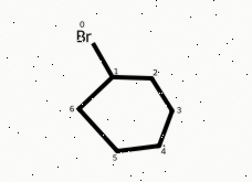 BrC1CC[CH]CC1